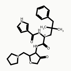 CC(C)(Cc1ccccc1)C[C@H](NC(=O)c1cc[nH]c1)C(=O)NC1C(=O)COC1CN1CCCC1